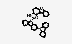 c1ccc2c(c1)oc1ccc3c(c12)OC(n1c2ccccc2c2ccc(-n4c5ccccc5c5ccccc54)cc21)N3